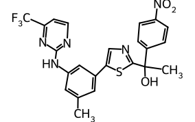 Cc1cc(Nc2nccc(C(F)(F)F)n2)cc(-c2cnc(C(C)(O)c3ccc([N+](=O)[O-])cc3)s2)c1